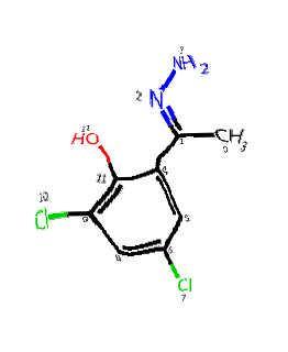 CC(=NN)c1cc(Cl)cc(Cl)c1O